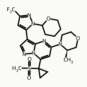 C[C@@H]1COCCN1c1cc(C2(S(C)(=O)=O)CC2)n2ncc(-c3cc(C(F)(F)F)nn3C3CCCCO3)c2n1